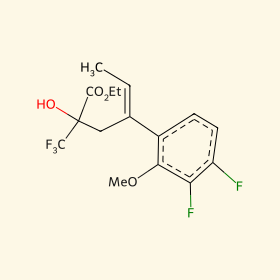 C/C=C(\CC(O)(C(=O)OCC)C(F)(F)F)c1ccc(F)c(F)c1OC